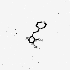 O[C@@H]1[C@H](CCN2CCOCC2)NC[C@@H]1O